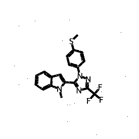 CSc1ccc(-n2nc(C(F)(F)F)nc2-c2cc3ccccc3n2C)cc1